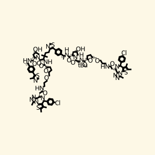 Cc1ncsc1-c1ccc([C@H](C)NC(=O)[C@@H]2C[C@@H](O)CN2C(=O)[C@@H](NC(=O)[C@H]2CCC(COCCCNC(=O)C[C@@H]3N=C(c4ccc(Cl)cc4)c4c(sc(C)c4C)-n4c(C)nnc43)O2)C(C)(C)CCc2ncsc2-c2ccc([C@H](C)NC(=O)[C@@H]3C[C@@H](O)CN3C(=O)[C@@H](NC(=O)[C@@H]3CC[C@H](COCCCNC(=O)C[C@@H]4N=C(c5ccc(Cl)cc5)c5c(sc(C)c5C)-n5c(C)nnc54)O3)C(C)(C)C)cc2)cc1